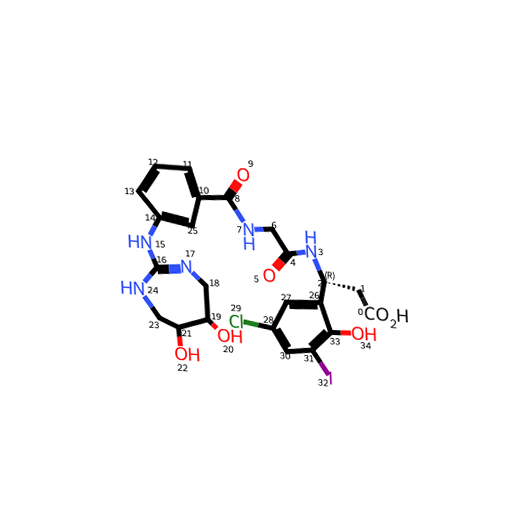 O=C(O)C[C@@H](NC(=O)CNC(=O)c1cccc(NC2=NCC(O)C(O)CN2)c1)c1cc(Cl)cc(I)c1O